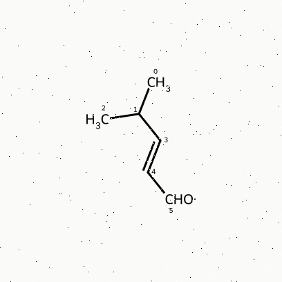 CC(C)C=C[C]=O